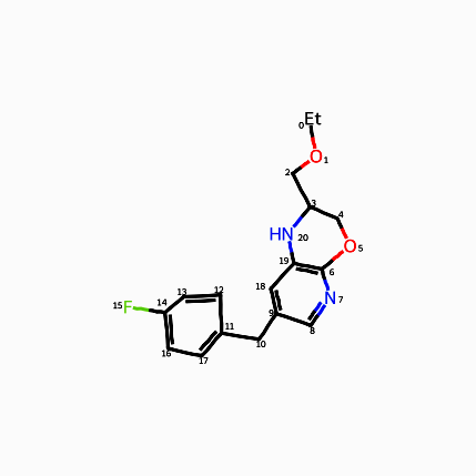 CCOCC1COc2ncc(Cc3ccc(F)cc3)cc2N1